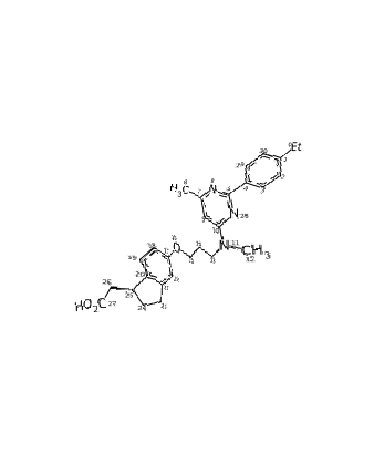 CCc1ccc(-c2nc(C)cc(N(C)CCCOc3ccc4c(c3)CC[C@H]4CC(=O)O)n2)cc1